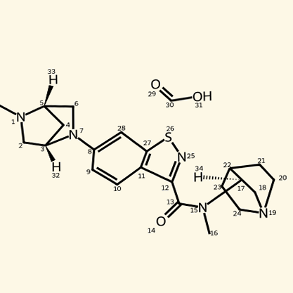 CN1C[C@@H]2C[C@H]1CN2c1ccc2c(C(=O)N(C)[C@@H]3CN4CCC3CC4)nsc2c1.O=CO